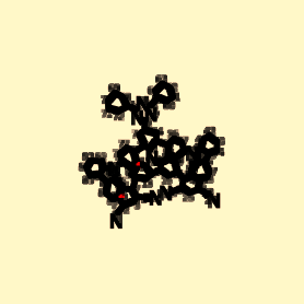 N#Cc1cc(C#N)c(-c2ccc3c(c2)c2cc(-c4c(C#N)cc(C#N)cc4C#N)ccc2n3-c2c(-c3ccc(-n4c5ccccc5c5ccccc54)cc3)cc(-c3nc(-c4ccccc4)nc(-c4ccccc4)n3)cc2-c2ccc(-n3c4ccccc4c4ccccc43)cc2)c(C#N)c1